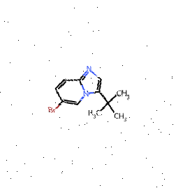 CC(C)(C)c1cnc2ccc(Br)cn12